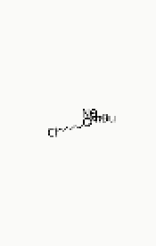 CCCCOc1ccc(CCCCCCCl)cc1[N+](=O)[O-]